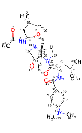 CC(=O)N[C@@H](CC(C)C)C(=O)N1CC(=O)[C@@H]2[C@H]1CCN2C(=O)[C@H](CC(C)C)NC(=O)c1ccc(N(C)C)cc1